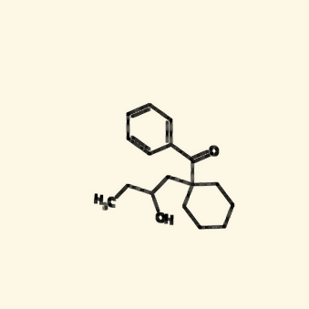 CCC(O)CC1(C(=O)c2ccccc2)CCCCC1